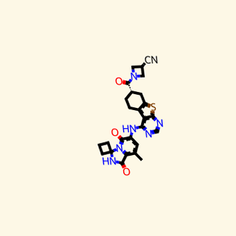 Cc1cc(Nc2ncnc3sc4c(c23)CC[C@H](C(=O)N2CC(C#N)C2)C4)c(=O)n2c1C(=O)NC21CCC1